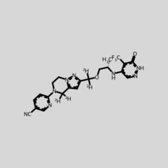 [2H]C([2H])(OC[C@H](C)Nc1cn[nH]c(=O)c1C(F)(F)F)c1cc2n(n1)CCN(c1ccc(C#N)cn1)C2([2H])[2H]